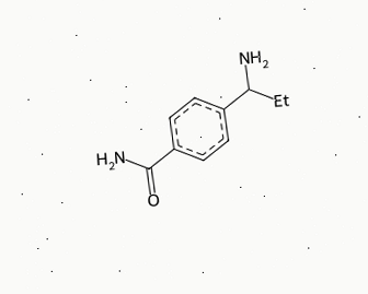 CCC(N)c1ccc(C(N)=O)cc1